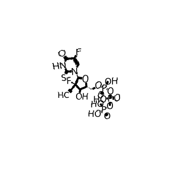 C#C[C@@]1(F)C(O)[C@@H](COP(=O)(O)OP(=O)(O)OP(=O)(O)O)O[C@H]1n1cc(F)c(=O)[nH]c1=S